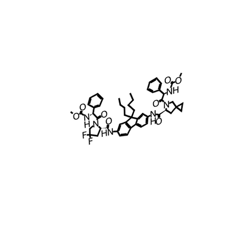 CCCCC1(CCCC)c2cc(NC(=O)[C@@H]3CC(F)(F)CN3C(=O)[C@H](NC(=O)OC)c3ccccc3)ccc2-c2ccc(NC(=O)[C@@H]3CC4(CC4)CN3C(=O)[C@H](NC(=O)OC)c3ccccc3)cc21